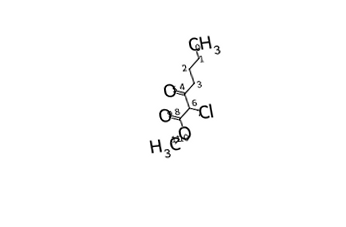 CCCCC(=O)C(Cl)C(=O)OC